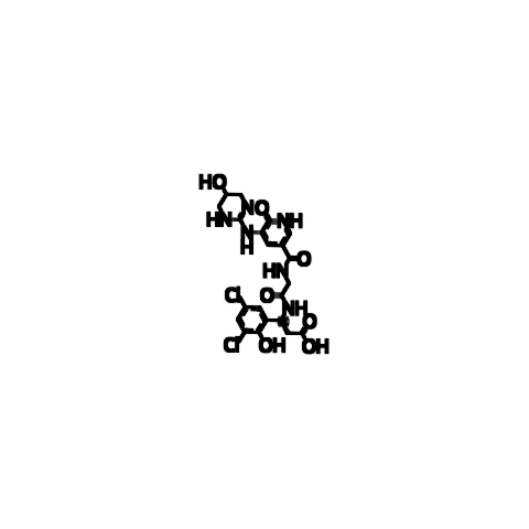 O=C(O)C[C@H](NC(=O)CNC(=O)c1c[nH]c(=O)c(NC2=NCC(O)CN2)c1)c1cc(Cl)cc(Cl)c1O